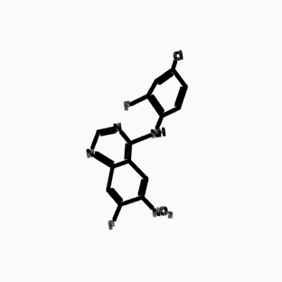 O=[N+]([O-])c1cc2c(Nc3ccc(Cl)cc3F)ncnc2cc1F